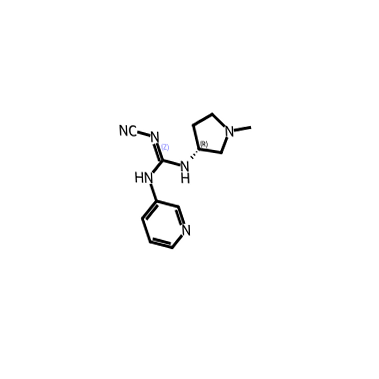 CN1CC[C@@H](N/C(=N/C#N)Nc2cccnc2)C1